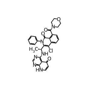 C[C@H](Nc1ncnc2[nH]ccc(=O)c12)c1c(Cl)c2cccc(C(=O)N3CCOCC3)c2c(=O)n1-c1ccccc1